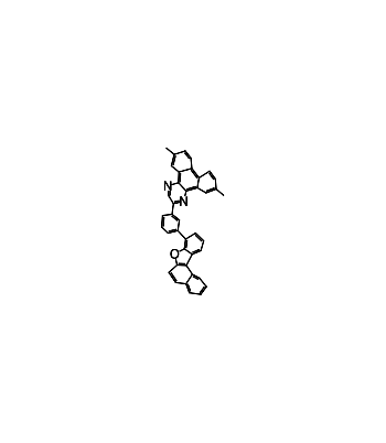 Cc1ccc2c3ccc(C)cc3c3nc(-c4cccc(-c5cccc6c5oc5ccc7ccccc7c56)c4)cnc3c2c1